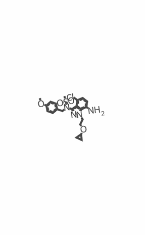 COc1ccc(CN(c2nn(CCOC3CC3)c3c(N)ccc(Cl)c23)S(C)(=O)=O)cc1